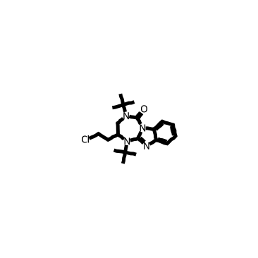 CC(C)(C)N1CC(CCCl)N(C(C)(C)C)c2nc3ccccc3n2C1=O